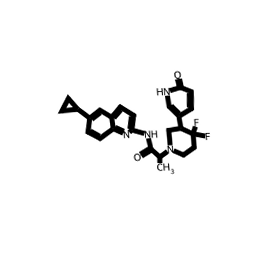 CC(C(=O)Nc1ccc2cc(C3CC3)ccc2n1)N1CCC(F)(F)C(c2ccc(=O)[nH]c2)C1